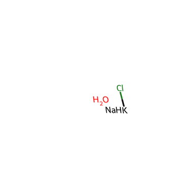 O.[Cl][K].[NaH]